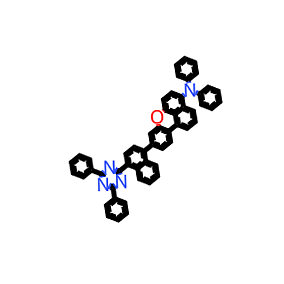 c1ccc(-c2nc(-c3ccccc3)nc(-c3ccc(-c4ccc5c(c4)Oc4ccc(N(c6ccccc6)c6ccccc6)c6cccc-5c46)c4ccccc34)n2)cc1